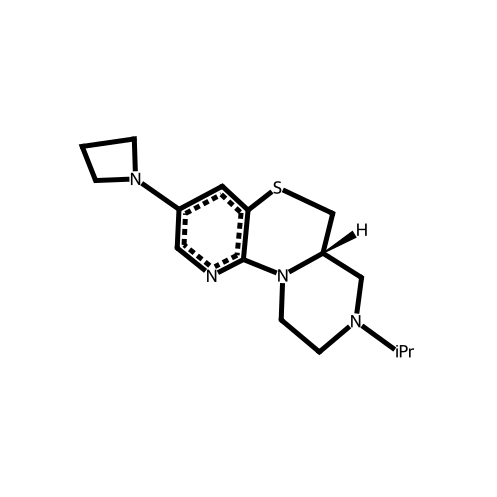 CC(C)N1CCN2c3ncc(N4CCC4)cc3SC[C@@H]2C1